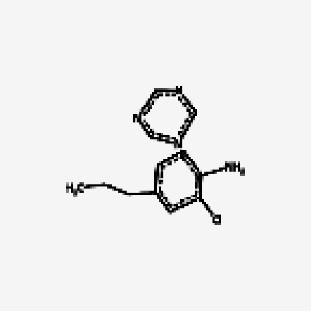 CCCc1ccc(N)c(Cl)c1.c1ncncn1